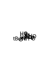 CC(C)(C)OC(=O)N[C@@H]1CN(c2cc3c(cc2Br)C(=O)OC3)[Si@H](CO)C1